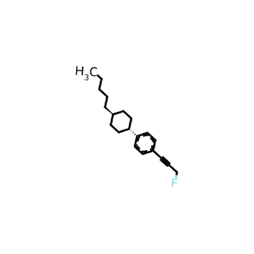 CCCCC[C@H]1CC[C@H](c2ccc(C#CCF)cc2)CC1